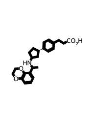 CC(NC1CC[C@H](c2ccc(CCC(=O)O)cc2)C1)c1cccc2c1OCCO2